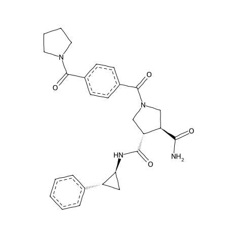 NC(=O)[C@@H]1CN(C(=O)c2ccc(C(=O)N3CCCC3)cc2)C[C@H]1C(=O)N[C@H]1C[C@@H]1c1ccccc1